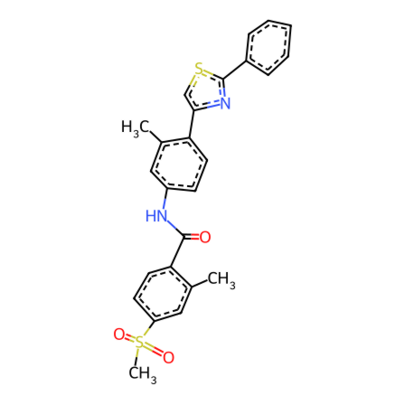 Cc1cc(S(C)(=O)=O)ccc1C(=O)Nc1ccc(-c2csc(-c3ccccc3)n2)c(C)c1